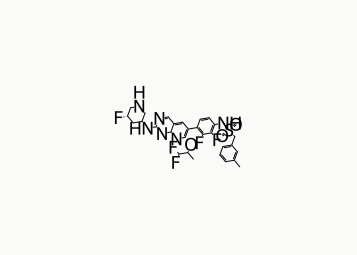 Cc1cccc(CS(=O)(=O)Nc2ccc(-c3cc4cnc(N[C@@H]5CNC[C@@H](F)C5)nc4nc3OC(C)C(F)F)c(F)c2F)c1